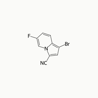 N#Cc1cc(Br)c2ccc(F)cn12